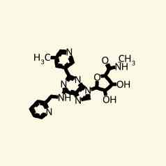 CNC(=O)C1OC(n2cnc3c(NCc4ccccn4)nc(-c4cncc(C)c4)nc32)C(O)C1O